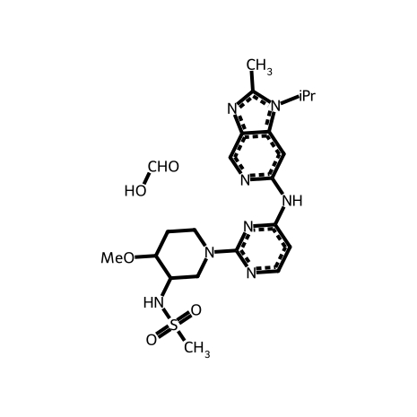 COC1CCN(c2nccc(Nc3cc4c(cn3)nc(C)n4C(C)C)n2)CC1NS(C)(=O)=O.O=CO